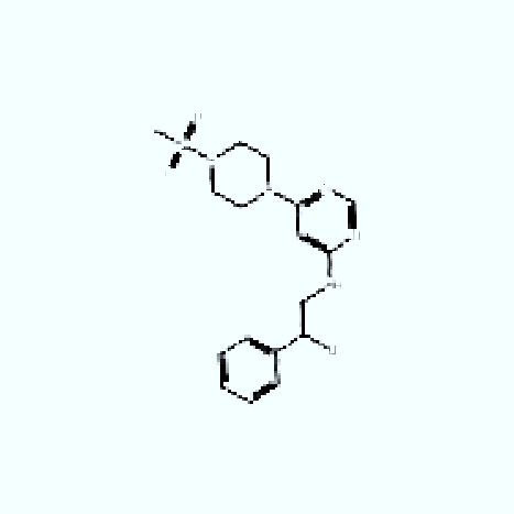 CS(=O)(=O)N1CCN(c2cc(NCC(O)c3ccccc3)ncn2)CC1